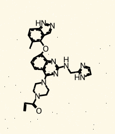 C=CC(=O)N1CCN(c2nc(NCc3ncc[nH]3)nc3c(Oc4c(C)ccc5[nH]ncc45)cccc23)CC1